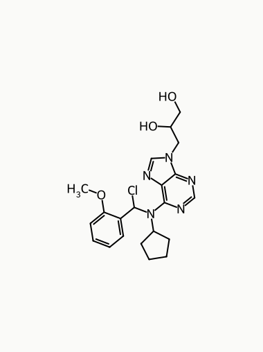 COc1ccccc1C(Cl)N(c1ncnc2c1ncn2CC(O)CO)C1CCCC1